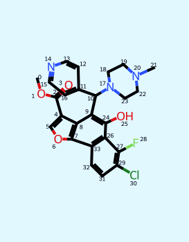 COC(=O)c1coc2c1c(C(c1ccncc1)N1CCN(C)CC1)c(O)c1c(F)c(Cl)ccc12